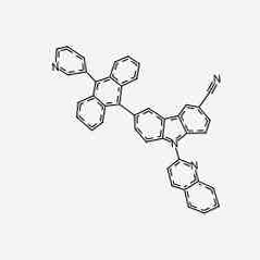 N#Cc1ccc2c(c1)c1cc(-c3c4ccccc4c(-c4cccnc4)c4ccccc34)ccc1n2-c1ccc2ccccc2n1